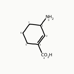 NC1C=C(C(=O)O)CCC1